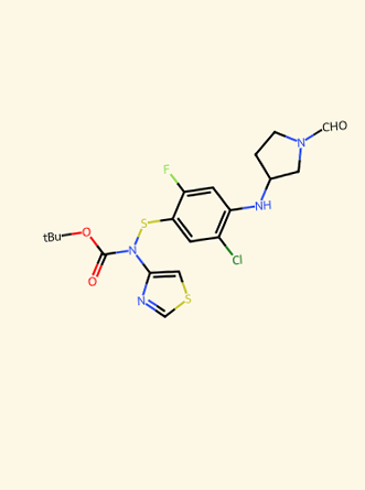 CC(C)(C)OC(=O)N(Sc1cc(Cl)c(NC2CCN(C=O)C2)cc1F)c1cscn1